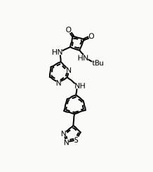 CC(C)(C)Nc1c(Nc2ccnc(Nc3ccc(-c4csnn4)cc3)n2)c(=O)c1=O